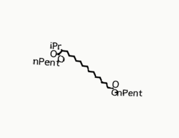 CCCCCOC(=O)CCCCCCCCCCCCCCC(C(=O)OCCCCC)C(C)C